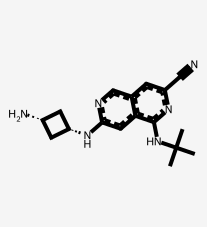 CC(C)(C)Nc1nc(C#N)cc2cnc(N[C@H]3C[C@@H](N)C3)cc12